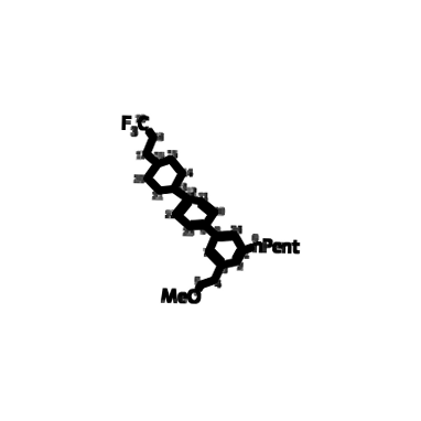 CCCCCc1cc(CCOC)cc(-c2ccc(C3CCC(CCC(F)(F)F)CC3)cc2)c1